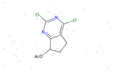 CC(=O)OC1CCc2c(Cl)nc(Cl)nc21